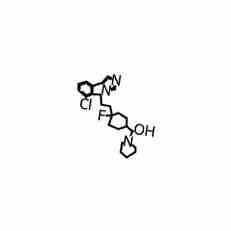 OC(C1CCC(F)(CCC2c3c(Cl)cccc3-c3cncn32)CC1)N1CCCCC1